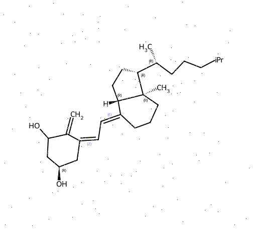 C=C1/C(=C\C=C2/CCC[C@]3(C)[C@@H]([C@H](C)CCCC(C)C)CC[C@@H]23)C[C@@H](O)CC1O